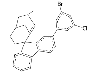 CC1C=C2CC(CCC23c2ccccc2-c2ccc(-c4cc(Cl)cc(Br)c4)cc23)C1